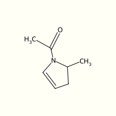 CC(=O)N1C=CCC1C